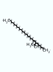 [CH2]CCCCCCCCCCCCCCCCCC=CC(CCCCC[CH2])C(C)C